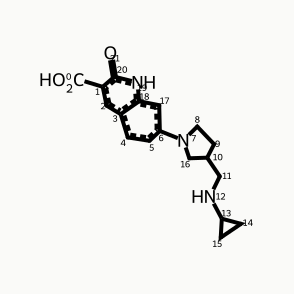 O=C(O)c1cc2ccc(N3CCC(CNC4CC4)C3)cc2[nH]c1=O